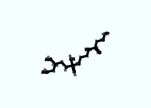 CCCOCC(=O)NCCOP(=O)(O)OC[C@@H](COC(C)=O)OC(C)=O